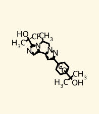 C[C@H]1Cn2nc(C34CCC(C(C)(C)O)(CC3)OC4)cc2-c2cnc([C@@](C)(O)C(F)(F)F)n21